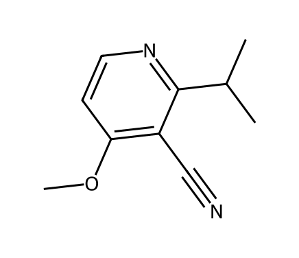 COc1ccnc(C(C)C)c1C#N